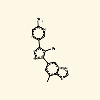 Cc1cc(-c2[nH]nc(-c3cnc(N)cn3)c2C(C)C)cn2ncnc12